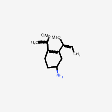 C=C(OC)C1=C(/C(=C\C)OC)CC(N)CC1